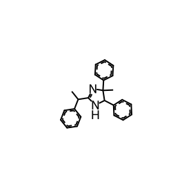 CC(C1=NC(C)(c2ccccc2)C(c2ccccc2)N1)c1ccccc1